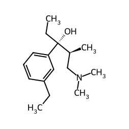 CCc1cccc([C@@](O)(CC)[C@@H](C)CN(C)C)c1